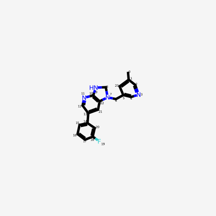 Cc1cncc(CN2CNc3ncc(-c4cccc(F)c4)cc32)c1